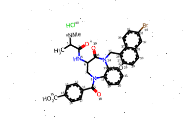 CNC(C)C(=O)NC1CN(C(=O)c2ccc(C(=O)O)cc2)c2ccccc2N(Cc2c(OC)ccc3cc(Br)ccc23)C1=O.Cl